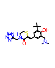 CN(C)Cc1cc(C=C2SCCN(Cc3nnn[nH]3)C2=O)cc(C(C)(C)C)c1O